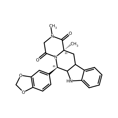 CN1CC(=O)N2[C@H](c3ccc4c(c3)OCO4)C3Nc4ccccc4C3C[C@]2(C)C1=O